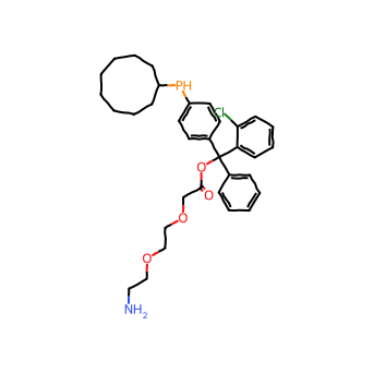 NCCOCCOCC(=O)OC(c1ccccc1)(c1ccc(PC2CCCCCCCC2)cc1)c1ccccc1Cl